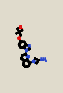 CC1(COc2ccc3c(c2)ncn3-c2ccc3cccc(N4CC(N)C4)c3n2)COC1